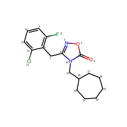 O=c1onc(Cc2c(F)cccc2Cl)n1CC1CCCCCC1